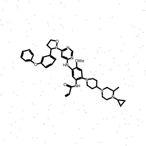 C=CC(=O)Nc1cc(Nc2cc(N3OCCC3c3cccc(Oc4ccccc4)c3)ncn2)c(OC)cc1N1CCC(N2CCN(C3CC3)C(C)C2)CC1